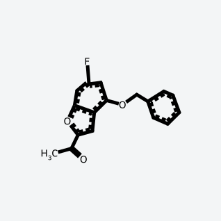 CC(=O)c1cc2c(OCc3ccccc3)cc(F)cc2o1